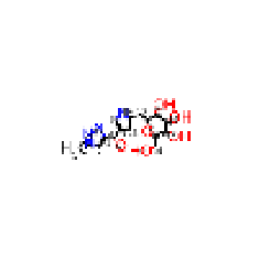 Cn1cc(C(=O)C2=CN=C(CC3OC(CO)C(O)C(O)C3O)C2)nn1